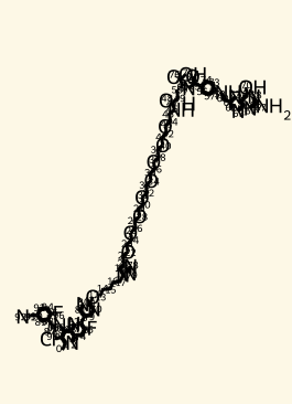 Cc1nc2cc(F)c(-c3cnc(OCCCCCn4cc(COCCOCCOCCOCCOCCOCCOCCOCCNC(=O)CC[C@H](NC(=O)c5ccc(NCc6cnc7nc(N)nc(O)c7n6)cc5)C(=O)O)nn4)nc3)nc2c(N[C@H](C)c2cc(C#N)ccc2F)c1Cl